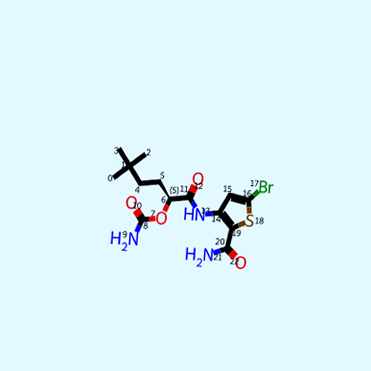 CC(C)(C)CC[C@H](OC(N)=O)C(=O)Nc1cc(Br)sc1C(N)=O